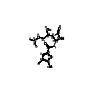 CCn1nc(C(=O)C[C@H]2NC(=O)[C@H]2[C@@H](CO[SiH](C)C)C(C)(C)C)cc1C